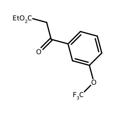 CCOC(=O)CC(=O)c1cccc(OC(F)(F)F)c1